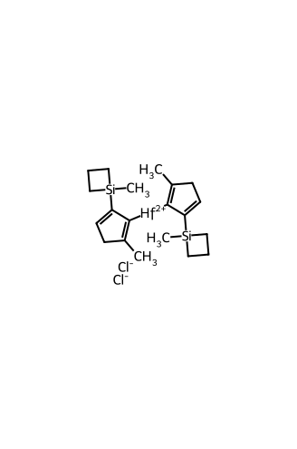 CC1=[C]([Hf+2][C]2=C(C)CC=C2[Si]2(C)CCC2)C([Si]2(C)CCC2)=CC1.[Cl-].[Cl-]